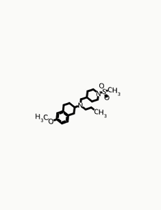 CCCN(CC1CCN(S(C)(=O)=O)CC1)C1CCc2cc(OC)ccc2C1